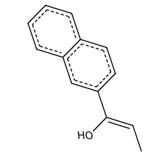 C/C=C(\O)c1ccc2ccccc2c1